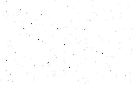 Cc1nccs1.c1ccc(-c2nnnn2-c2ccccc2)cc1